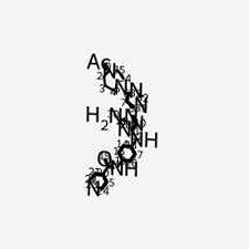 CC(=O)N1CCCN(c2cc(-n3nc(Nc4ccc(NC(=O)c5ccncc5)cc4)nc3N)ncn2)CC1